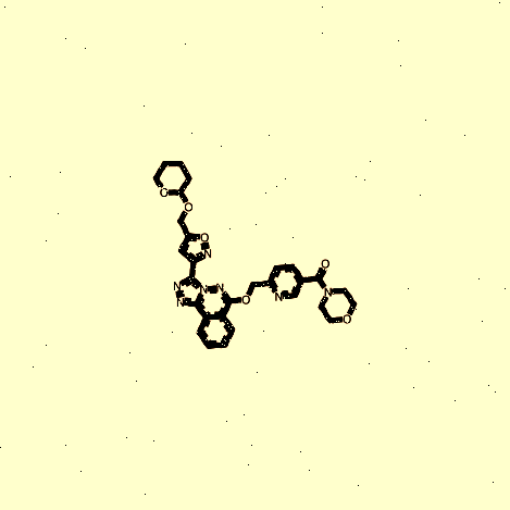 O=C(c1ccc(COc2nn3c(-c4cc(COC5CCCCO5)on4)nnc3c3ccccc23)nc1)N1CCOCC1